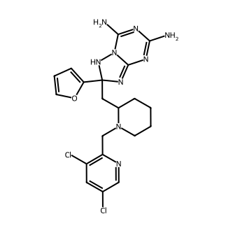 NC1=NC2=NC(CC3CCCCN3Cc3ncc(Cl)cc3Cl)(c3ccco3)NN2C(N)=N1